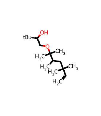 C=CC(C)(C)CC(C)C(C)(C)OCC(O)C(C)(C)C